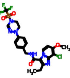 CCc1nc2c(Cl)c(OC)ccn2c1C(=O)NCc1ccc(N2CCN(S(=O)(=O)C(F)(F)F)C=N2)cc1